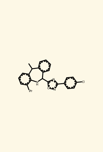 CC(C)c1cccc2c1NC(c1nc(-c3ccc(Cl)cc3)no1)c1ccccc1C2C